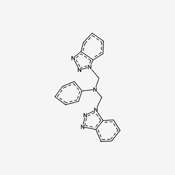 c1ccc(N(Cn2nnc3ccccc32)Cn2nnc3ccccc32)cc1